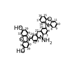 NN1c2ccc(N3c4ccccc4Oc4ccccc43)cc2Cc2cc(N3c4ccc(O)cc4Oc4cc(O)ccc43)ccc21